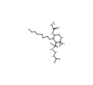 CCCCCCCCC1C(OC(=O)CCl)CCC2(CO2)C1C(C)(C)OCCC(C)C